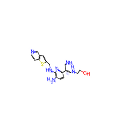 N=C/C(=C\NCCO)c1ccc(N)c(NCc2cc3cnccc3s2)n1